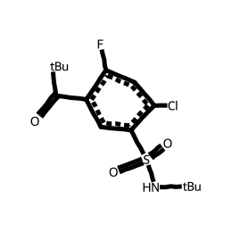 CC(C)(C)NS(=O)(=O)c1cc(C(=O)C(C)(C)C)c(F)cc1Cl